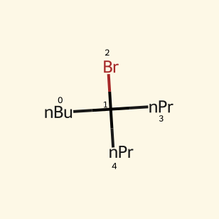 CCCCC(Br)(CCC)CCC